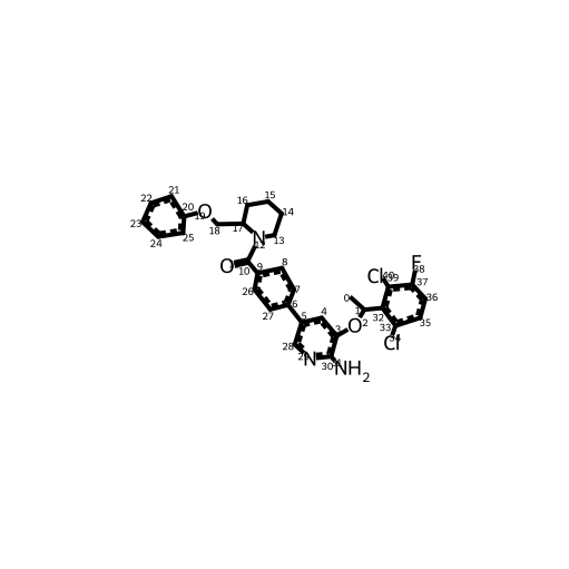 CC(Oc1cc(-c2ccc(C(=O)N3CCCCC3COc3ccccc3)cc2)cnc1N)c1c(Cl)ccc(F)c1Cl